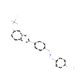 Oc1ccc(/N=N/c2ccc(-c3nc4cc(OC(F)(F)F)ccc4s3)cc2)cc1